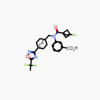 CC(F)(F)c1nc(C23CCC(CN(C(=O)C45CC(F)(C4)C5)c4cccc(C(=O)O)c4)(CC2)CC3)no1